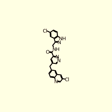 O=C(NCc1n[nH]c2ccc(Cl)cc12)c1cc(Cc2ccc3ncc(Cl)cc3c2)cnn1